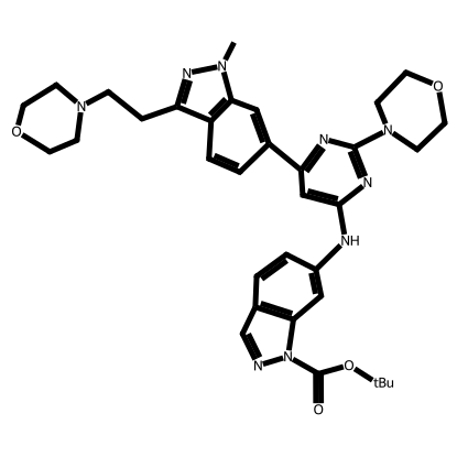 Cn1nc(CCN2CCOCC2)c2ccc(-c3cc(Nc4ccc5cnn(C(=O)OC(C)(C)C)c5c4)nc(N4CCOCC4)n3)cc21